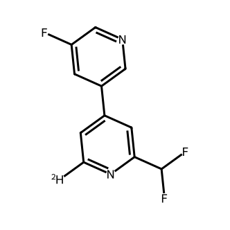 [2H]c1cc(-c2cncc(F)c2)cc(C(F)F)n1